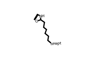 CCCCCCCCCCCCCC1NC=CO1